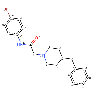 O=C(CN1CCC(Cc2ccccc2)CC1)Nc1ccc(Br)cc1